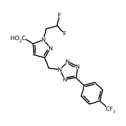 O=C(O)c1cc(Cn2nnc(-c3ccc(C(F)(F)F)cc3)n2)nn1CC(F)F